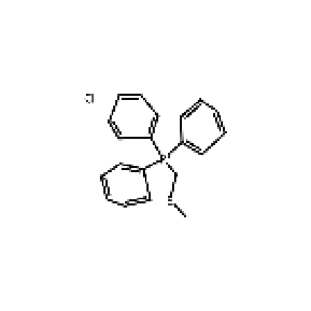 CSC[P+](c1ccccc1)(c1ccccc1)c1ccccc1.[Cl-]